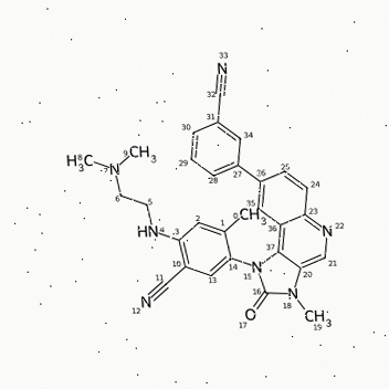 Cc1cc(NCCN(C)C)c(C#N)cc1-n1c(=O)n(C)c2cnc3ccc(-c4cccc(C#N)c4)cc3c21